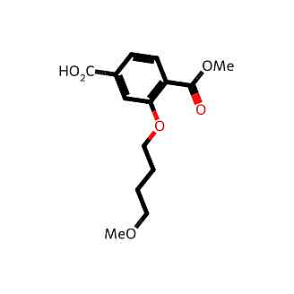 COCCCCOc1cc(C(=O)O)ccc1C(=O)OC